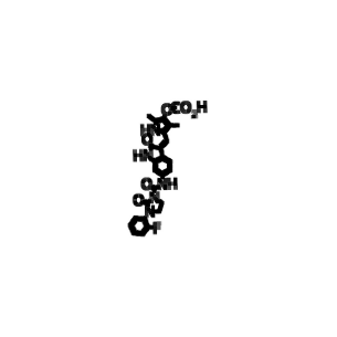 Cc1[nH]c(/C=C2\C(=O)Nc3cc(NC(=O)N4CCN(c5ccccc5F)C4=O)ccc32)c(C)c1OC(=O)O